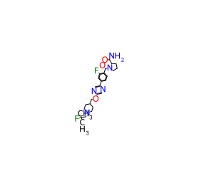 CC(C)(F)CN1CCC(COc2cnc(-c3ccc(C(=O)N4CCCC4C(N)=O)c(F)c3)cn2)CC1